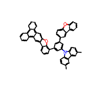 Cc1ccc2c(c1)c1cc(C)ccc1n2-c1cc(-c2ccc3oc4ccccc4c3c2)cc(-c2cccc3c2oc2cc4c5ccccc5c5ccccc5c4cc23)c1